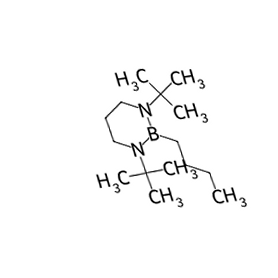 CCCCB1N(C(C)(C)C)CCCN1C(C)(C)C